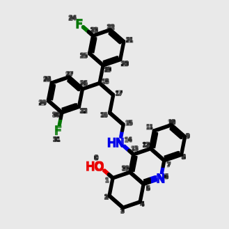 OC1CCCc2nc3ccccc3c(NCCCC(c3cccc(F)c3)c3cccc(F)c3)c21